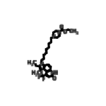 CCOC(=O)N1CCN(CCCCCCCCCn2c(CC)c(C)c3c4c(C(F)(F)F)cc(=O)[nH]c4ccc32)CC1